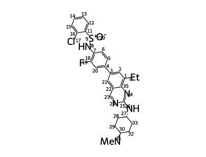 CCc1cc(-c2ccc(N[S+]([O-])c3ccccc3Cl)c(F)c2)cc2cnc(N[C@H]3CC[C@H](NC)CC3)nc12